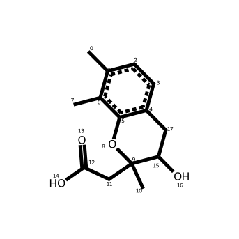 Cc1ccc2c(c1C)OC(C)(CC(=O)O)C(O)C2